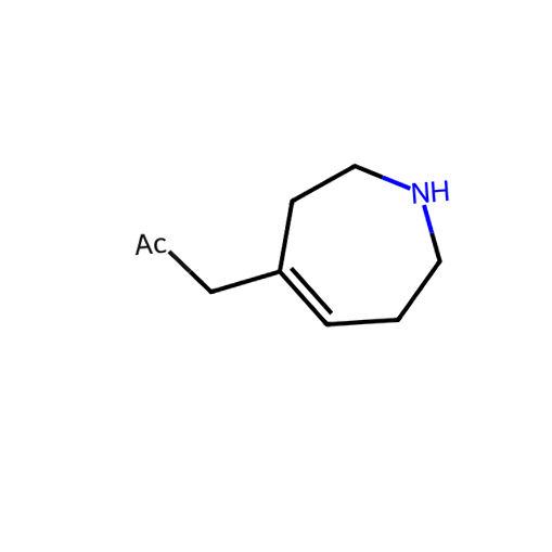 CC(=O)CC1=CCCNCC1